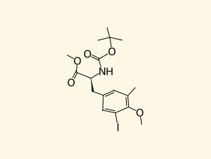 COC(=O)[C@H](Cc1cc(C)c(OC)c(I)c1)NC(=O)OC(C)(C)C